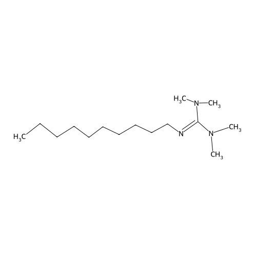 CCCCCCCCCCN=C(N(C)C)N(C)C